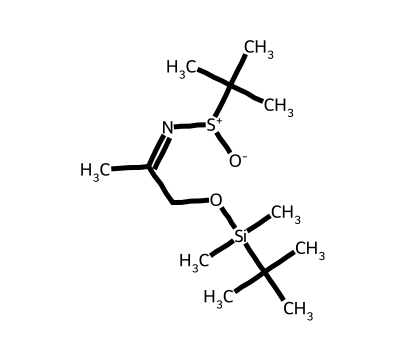 CC(CO[Si](C)(C)C(C)(C)C)=N[S+]([O-])C(C)(C)C